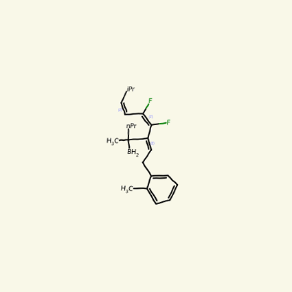 BC(C)(CCC)C(=C\Cc1ccccc1C)/C(F)=C(F)\C=C/C(C)C